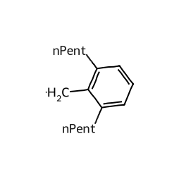 [CH2]c1c(CCCCC)cccc1CCCCC